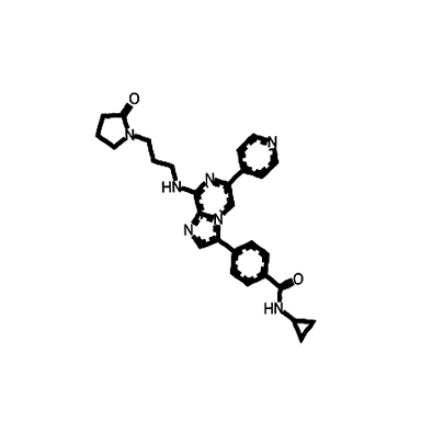 O=C(NC1CC1)c1ccc(-c2cnc3c(NCCCN4CCCC4=O)nc(-c4ccncc4)cn23)cc1